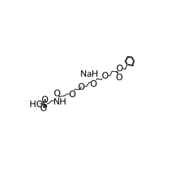 O=C(CCOCCOCCOCCOCCC(=O)OCc1ccccc1)NCCS(=O)(=O)O.[NaH]